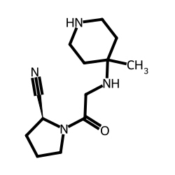 CC1(NCC(=O)N2CCC[C@H]2C#N)CCNCC1